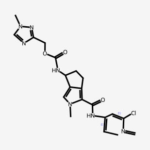 C=N/C(Cl)=C\C(=C/C)NC(=O)c1c2c(cn1C)C(NC(=O)OCc1ncn(C)n1)CC2